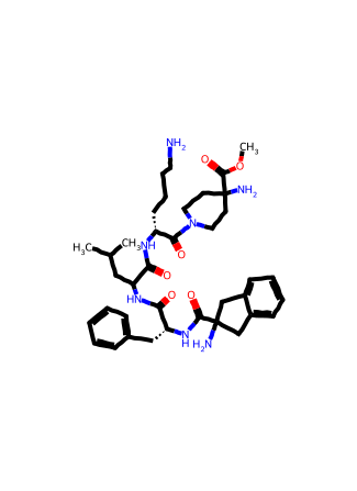 COC(=O)C1(N)CCN(C(=O)[C@@H](CCCCN)NC(=O)C(CC(C)C)NC(=O)[C@@H](Cc2ccccc2)NC(=O)C2(N)Cc3ccccc3C2)CC1